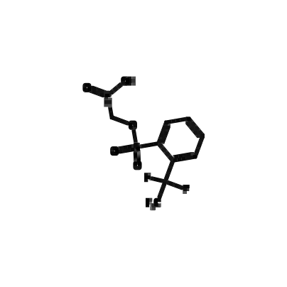 O=[PH](O)COS(=O)(=O)c1ccccc1C(F)(F)C(F)(F)F